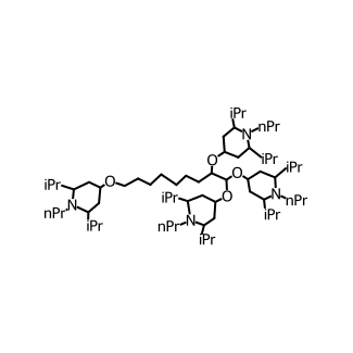 CCCN1C(C(C)C)CC(OCCCCCCCC(OC2CC(C(C)C)N(CCC)C(C(C)C)C2)C(OC2CC(C(C)C)N(CCC)C(C(C)C)C2)OC2CC(C(C)C)N(CCC)C(C(C)C)C2)CC1C(C)C